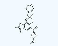 COC1CN(C(=O)c2cc3c(nc(C)n3C)c3c2CCC2(Cc4ccccc4C2)O3)C1